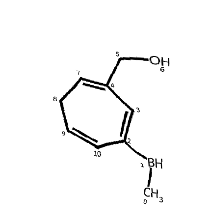 CBC1=CC(CO)=CCC=C1